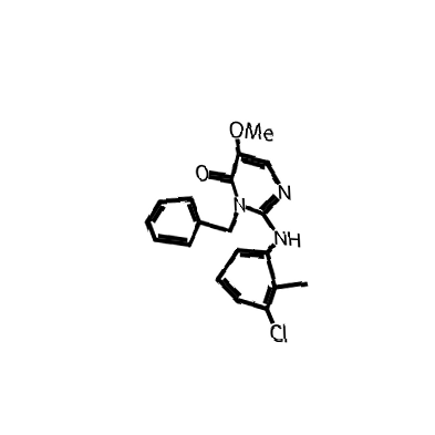 COc1cnc(Nc2cccc(Cl)c2C)n(Cc2ccccc2)c1=O